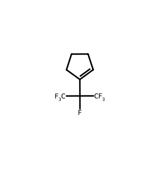 FC(F)(F)C(F)(C1=CCCC1)C(F)(F)F